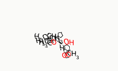 CC(C)(C)[Si](C)(C)O[C@H](C#C[C@@H]1[C@@H](O)CC[C@]2(C)[C@H]1CC21OCCO1)CC1CCCC1